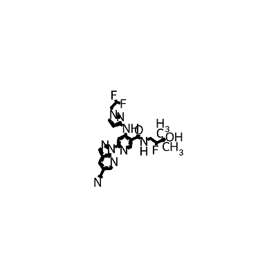 CC(C)(O)C(F)CNC(=O)c1cnc(-n2ncc3cc(C#N)cnc32)cc1Nc1ccn(CC(F)F)n1